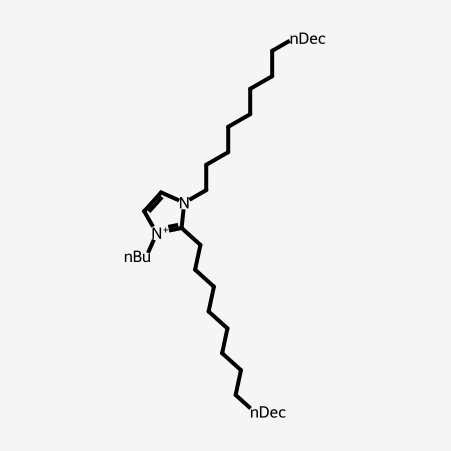 CCCCCCCCCCCCCCCCCCc1n(CCCCCCCCCCCCCCCCCC)cc[n+]1CCCC